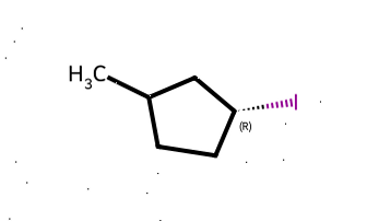 CC1CC[C@@H](I)C1